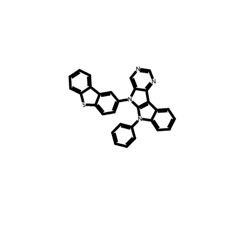 c1ccc(-n2c3ccccc3c3c4ncncc4n(-c4ccc5sc6ccccc6c5c4)c32)cc1